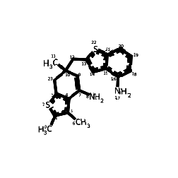 Cc1sc2c(c1C)C(N)=CC(C)(Cc1cc3c(N)cccc3s1)C2